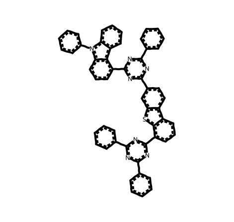 c1ccc(-c2nc(-c3ccccc3)nc(-c3cccc4c3sc3cc(-c5nc(-c6ccccc6)nc(-c6cccc7c6c6ccccc6n7-c6ccccc6)n5)ccc34)n2)cc1